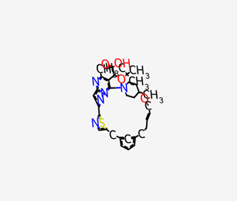 Cc1nc2cc3nn2c(c1[C@H](OC(C)(C)C)C(=O)O)N1CCC(C)(CC1)OC/C=C/CCc1cccc(c1)Cc1cnc-3s1